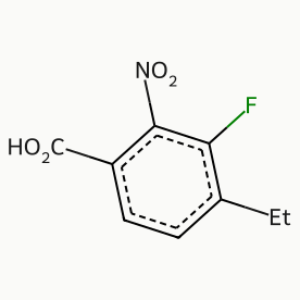 CCc1ccc(C(=O)O)c([N+](=O)[O-])c1F